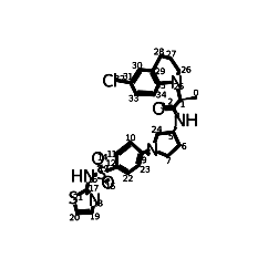 C[C@@H](C(=O)N[C@H]1CCN(c2ccc(S(=O)(=O)Nc3nccs3)cc2)C1)N1CCCc2cc(Cl)ccc21